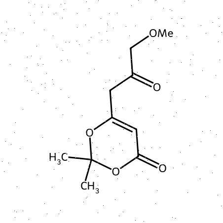 COCC(=O)CC1=CC(=O)OC(C)(C)O1